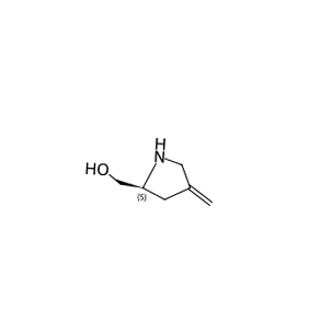 C=C1CN[C@H](CO)C1